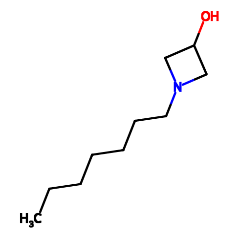 CCCCCCCN1CC(O)C1